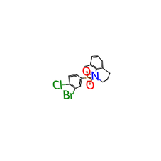 Cc1cccc2c1N(S(=O)(=O)c1ccc(Cl)c(Br)c1)CCC2